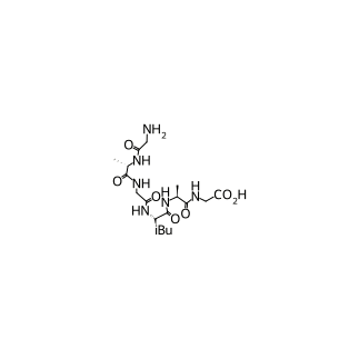 CC[C@H](C)[C@H](NC(=O)CNC(=O)[C@H](C)NC(=O)CN)C(=O)N[C@@H](C)C(=O)NCC(=O)O